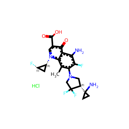 Cc1c(N2C[C@H](C3(N)CC3)C(F)(F)C2)c(F)c(N)c2c(=O)c(C(=O)O)cn([C@@H]3C[C@@H]3F)c12.Cl